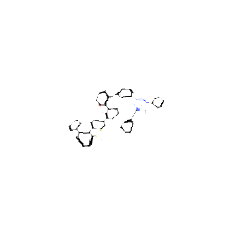 c1ccc(-c2nc(-c3ccccc3)nc(-c3cccc(-c4cccc5oc6c(-c7ccc8c(c7)sc7cccc(-c9ccccc9)c78)cccc6c45)c3)n2)cc1